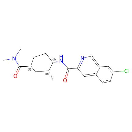 C[C@@H]1C[C@@H](C(=O)N(C)C)CC[C@@H]1NC(=O)c1cc2ccc(Cl)cc2cn1